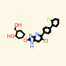 OC[C@H]1CC[C@H](Oc2nc3nc(-c4ccc(-c5ccccc5F)cc4)c(Cl)cc3[nH]2)C[C@@H]1O